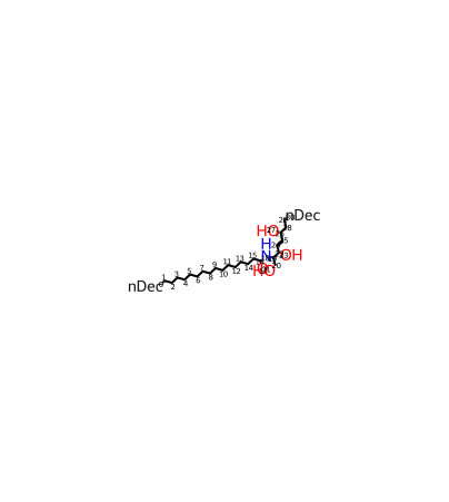 CCCCCCCCCCCCCCCCCCCCCCCCCC(=O)NC(CO)C(O)/C=C/C(O)CCCCCCCCCCCC